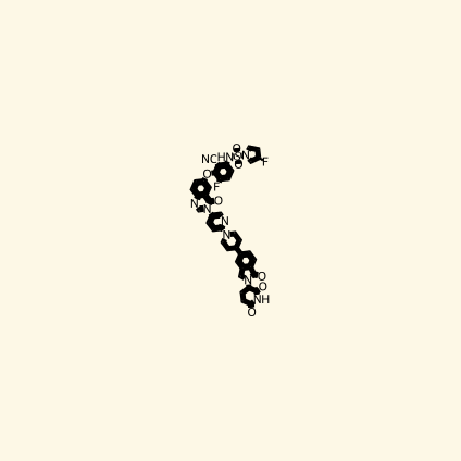 N#Cc1c(NS(=O)(=O)N2CC[C@@H](F)C2)ccc(F)c1Oc1ccc2ncn(-c3ccc(N4CCC(c5ccc6c(c5)CN(C5CCC(=O)NC5=O)C6=O)CC4)nc3)c(=O)c2c1